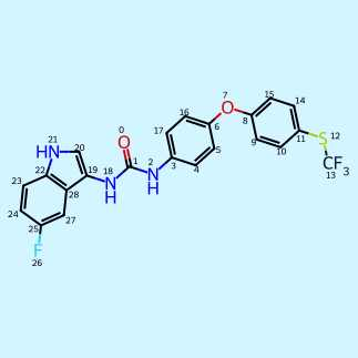 O=C(Nc1ccc(Oc2ccc(SC(F)(F)F)cc2)cc1)Nc1c[nH]c2ccc(F)cc12